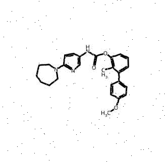 COc1ccc(-c2cccc(OC(=O)Nc3ccc(N4CCCCCC4)nc3)c2C)cc1